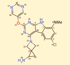 CNc1cc(Cl)cc2c1[nH]c1nc(Oc3cncnc3)nc(N3CC4(CC4N)C3)c12